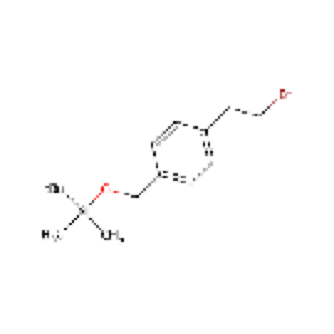 CC(C)(C)[Si](C)(C)OCc1ccc(CCBr)cc1